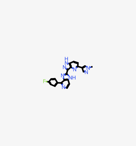 Cn1cc(-c2ccc3[nH]nc(-c4nc5c(-c6ccc(F)cc6)nccc5[nH]4)c3n2)cn1